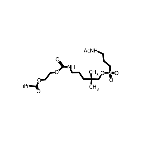 CC(=O)NCCCS(=O)(=O)OCC(C)(C)CCCNC(=O)OCCOC(=O)C(C)C